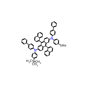 CSc1ccc(N(c2ccc(-c3ccccc3)cc2)c2ccc3c(-c4cccc5ccccc45)c4cc(N(c5ccc(-c6ccccc6)cc5)c5ccc([Si](C)(C)C)cc5)ccc4c(-c4cccc5ccccc45)c3c2)cc1